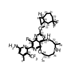 Cc1cc(N)nc(-c2nc3c4c(nc(OC[C@]56CC[C@H]5CCCC(F)(F)C6)nc4c2F)NCC(C)NCC[C@H](C)O3)c1C(F)(F)F